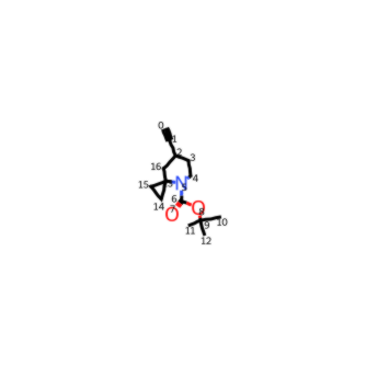 C#CC1CCN(C(=O)OC(C)(C)C)C2(CC2)C1